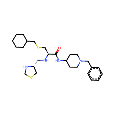 O=C(NC1CCN(Cc2ccccc2)CC1)[C@H](CSCC1CCCCC1)NC[C@@H]1CSCN1